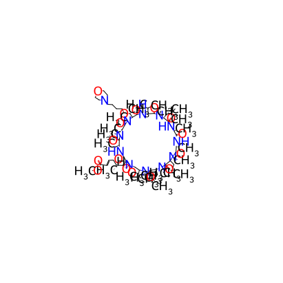 CC[C@@H]1NC(=O)[C@@H]2[C@@H]([C@H](C)C/C=C/C(=O)OC)ON2C(=O)C(C(C)C)N(C)C(=O)[C@H](CC(C)C)N(C)C(=O)C(CC(C)C)N(C)C(=O)[C@@H](C)NC(=O)C(C)NC(=O)[C@H](CC(C)C)N(C)C(=O)[C@H](C(C)C)NC(=O)[C@H]([C@@H](C)OCCCCN2CCOCC2)N(C)C(=O)[C@@H](C)N(C)C1=O